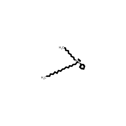 CCCCCCCCCCCCCCCCCc1n(-c2ccccc2)cc[n+]1CCCCCCCCC